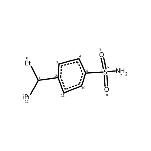 CCC(c1ccc(S(N)(=O)=O)cc1)C(C)C